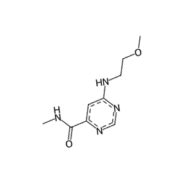 CNC(=O)c1cc(NCCOC)ncn1